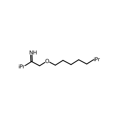 CC(C)CCCCCOCC(=N)C(C)C